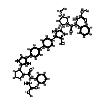 COC(=O)N[C@H](C(=O)N1CCCC1c1ncc(-c2ccc(-c3ccc(-c4[nH]c([C@@H]5C[C@H](SC)CN5C(=O)[C@@H](NC(=O)OC)c5ccccc5)nc4Cl)cc3)cc2)[nH]1)c1ccccc1